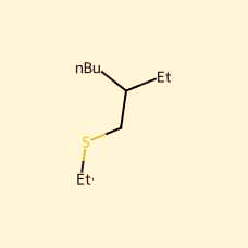 C[CH]SCC(CC)CCCC